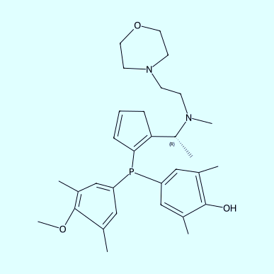 COc1c(C)cc(P(C2=C([C@@H](C)N(C)CCN3CCOCC3)CC=C2)c2cc(C)c(O)c(C)c2)cc1C